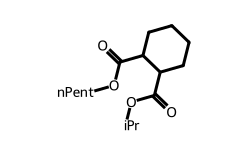 CCCCCOC(=O)C1CCCCC1C(=O)OC(C)C